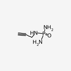 C#CCNP(N)(N)=O